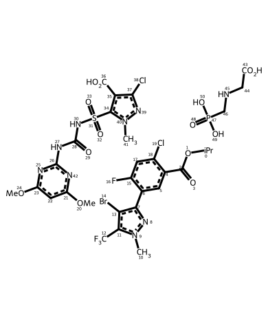 CC(C)OC(=O)c1cc(-c2nn(C)c(C(F)(F)F)c2Br)c(F)cc1Cl.COc1cc(OC)nc(NC(=O)NS(=O)(=O)c2c(C(=O)O)c(Cl)nn2C)n1.O=C(O)CNCP(=O)(O)O